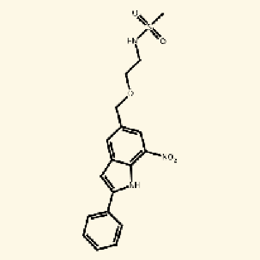 CS(=O)(=O)NCCOCc1cc([N+](=O)[O-])c2[nH]c(-c3ccccc3)cc2c1